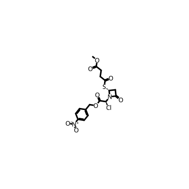 COC(=O)CCC(=O)S[C@@H]1CC(=O)N1[C@@H](Cl)C(=O)OCc1ccc([N+](=O)[O-])cc1